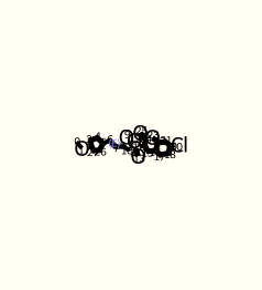 COc1ccc(/C=C/C(=O)CS(=O)(=O)c2cc3ccc(Cl)cc3oc2=O)cc1